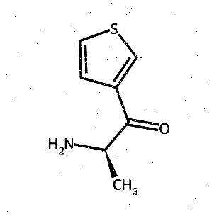 C[C@@H](N)C(=O)c1[c]scc1